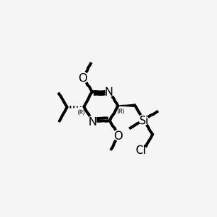 COC1=N[C@H](C(C)C)C(OC)=N[C@H]1C[Si](C)(C)CCl